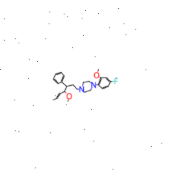 CC=CC(OC)C(CCN1CCN(c2ccc(F)cc2OC)CC1)c1ccccc1